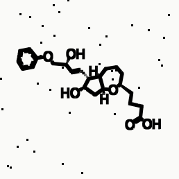 O=C(O)CCC[C@@H]1CCC[C@@H]2[C@@H](/C=C/[C@@H](O)COc3ccccc3)[C@H](O)C[C@@H]2O1